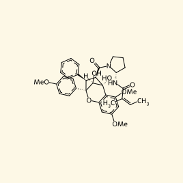 C/C=C(/C)C(=O)N[C@H]1CCCN1C(=O)[C@@H]1[C@H](c2ccccc2)[C@]2(c3ccc(OC)cc3)Oc3cc(OC)cc(OC)c3[C@@]1(O)[C@@H]2O